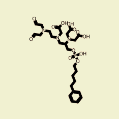 O=CCN(CC=O)CCN(CC(=O)O)CC(COP(=O)(O)OCCCCCc1ccccc1)N(CC(=O)O)CC(=O)O